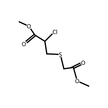 COC(=O)CSCC(Cl)C(=O)OC